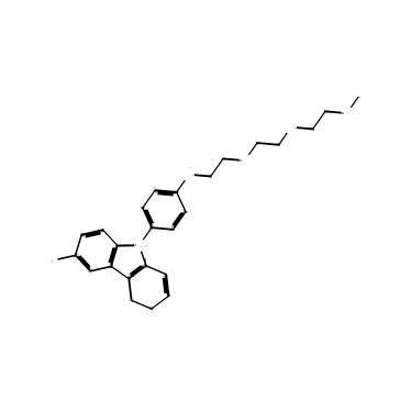 COCCOCCOCCOc1ccc(-n2c3c(c4cc(Br)ccc42)CCC=C3)cc1